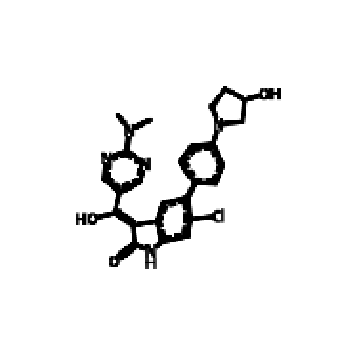 CN(C)c1ncc(/C(O)=C2/C(=O)Nc3cc(Cl)c(-c4ccc(N5CCC(O)C5)cc4)cc32)cn1